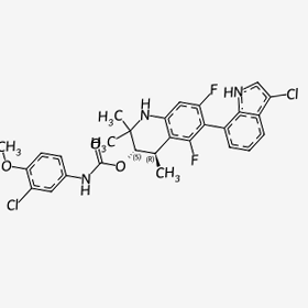 COc1ccc(NC(=O)O[C@H]2[C@H](C)c3c(cc(F)c(-c4cccc5c(Cl)c[nH]c45)c3F)NC2(C)C)cc1Cl